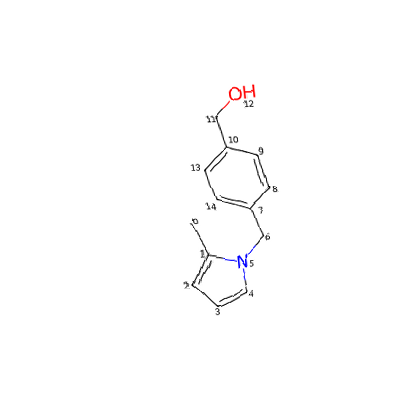 Cc1cccn1Cc1ccc(CO)cc1